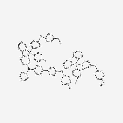 C=Cc1ccc(Oc2ccc(C3(c4ccc(F)cc4)c4ccccc4-c4ccc(N(c5ccccc5)c5ccc(-c6ccc(N(c7ccc(F)cc7)c7ccc8c(c7)C(c7ccc(F)cc7)(c7ccc(Oc9ccc(C=C)cc9)cc7)c7ccccc7-8)cc6)cc5)cc43)cc2)cc1